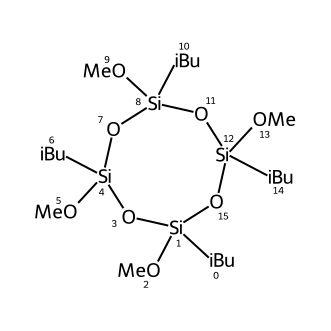 CCC(C)[Si]1(OC)O[Si](OC)(C(C)CC)O[Si](OC)(C(C)CC)O[Si](OC)(C(C)CC)O1